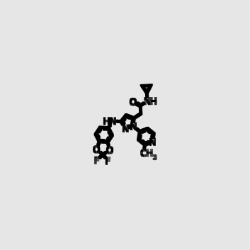 Cc1cc(-n2nc(Nc3ccc4c(c3)OC(F)(F)O4)cc2CC(=O)NC2CC2)ccn1